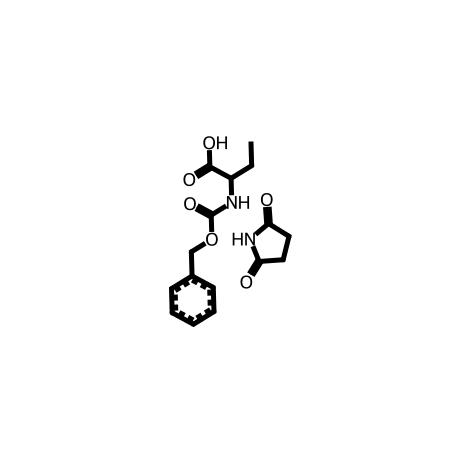 CCC(NC(=O)OCc1ccccc1)C(=O)O.O=C1CCC(=O)N1